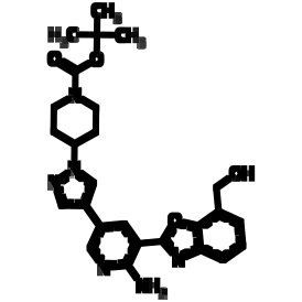 CC(C)(C)OC(=O)N1CCC(n2cc(-c3cnc(N)c(-c4nc5cccc(CO)c5o4)c3)cn2)CC1